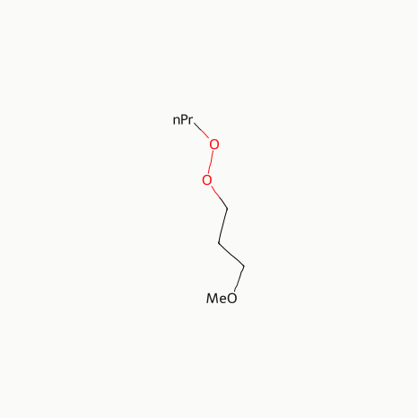 CCCOOCCCOC